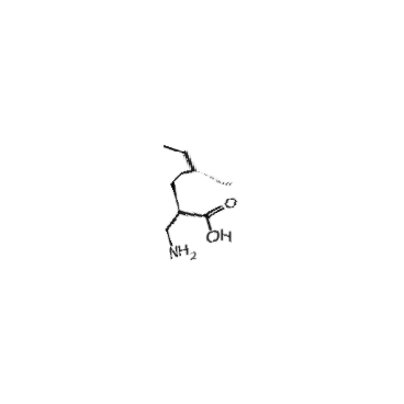 CC[C@H](C)C[C@H](CN)C(=O)O